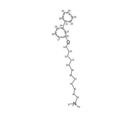 CN(C)CCCCCCCCCCCCOc1cccc(-c2ccccc2)c1